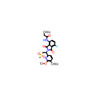 CCOc1nc(C(CS(C)(=O)=O)N2C(=O)c3c(F)ccc(NC(=O)COC)c3C2=O)ccc1OC